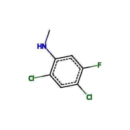 CNc1cc(F)c(Cl)cc1Cl